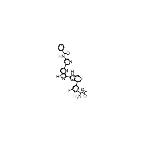 CS(=O)(=O)C(N)c1cc(F)cc(-c2cncc3[nH]c(-c4n[nH]c5ccc(-c6cncc(NC(=O)c7ccccc7)c6)nc45)cc23)c1